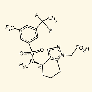 CN([C@@H]1CCCc2c1cnn2CC(=O)O)S(=O)(=O)c1cc(C(C)(F)F)cc(C(F)(F)F)c1